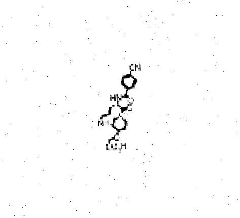 N#Cc1ccc(C(=O)N[C@@H](CCCN)C(=O)N2CCC(OCC(=O)O)CC2)cc1